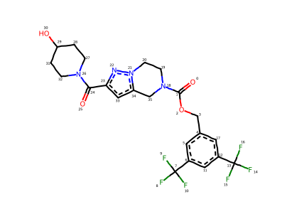 O=C(OCc1cc(C(F)(F)F)cc(C(F)(F)F)c1)N1CCn2nc(C(=O)N3CCC(O)CC3)cc2C1